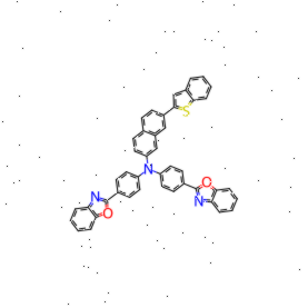 c1ccc2sc(-c3ccc4ccc(N(c5ccc(-c6nc7ccccc7o6)cc5)c5ccc(-c6nc7ccccc7o6)cc5)cc4c3)cc2c1